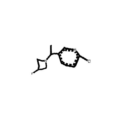 CC(c1ccc(Cl)nc1)N1CC(F)C1